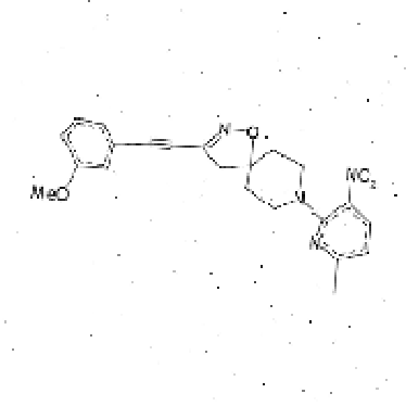 COc1cccc(C#CC2=NOC3(CCN(c4nc(C)ccc4[N+](=O)[O-])CC3)C2)c1